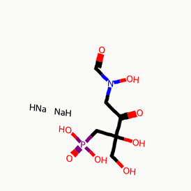 O=CN(O)CC(=O)C(O)(CO)CP(=O)(O)O.[NaH].[NaH]